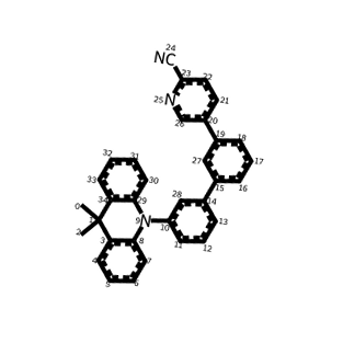 CC1(C)c2ccccc2N(c2cccc(-c3cccc(-c4ccc(C#N)nc4)c3)c2)c2ccccc21